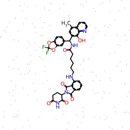 Cc1cc(C(NC(=O)CCCCCNc2cccc3c2C(=O)N(C2CCC(=O)NC2=O)C3=O)c2ccc3c(c2)OC(F)(F)O3)c(O)c2ncccc12